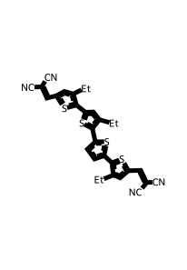 CCc1cc(C=C(C#N)C#N)sc1-c1ccc(-c2sc(-c3sc(C=C(C#N)C#N)cc3CC)cc2CC)s1